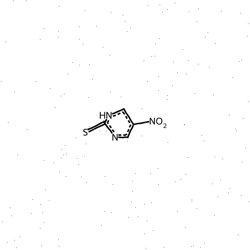 O=[N+]([O-])c1cnc(=S)[nH]c1